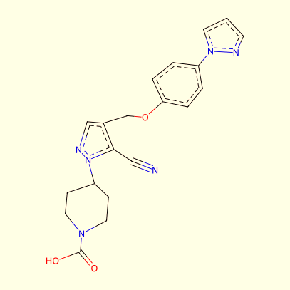 N#Cc1c(COc2ccc(-n3cccn3)cc2)cnn1C1CCN(C(=O)O)CC1